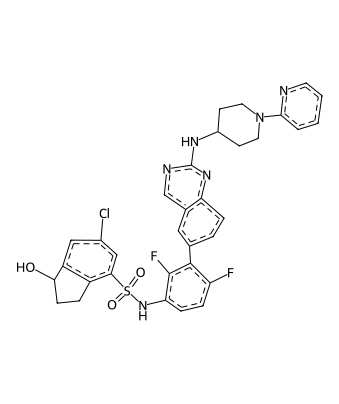 O=S(=O)(Nc1ccc(F)c(-c2ccc3nc(NC4CCN(c5ccccn5)CC4)ncc3c2)c1F)c1cc(Cl)cc2c1CCC2O